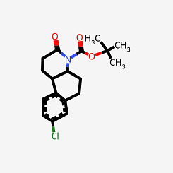 CC(C)(C)OC(=O)N1C(=O)CCC2c3ccc(Cl)cc3CCC21